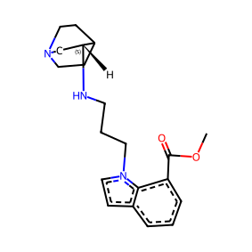 COC(=O)c1cccc2ccn(CCCN[C@@H]3CN4CCC3CC4)c12